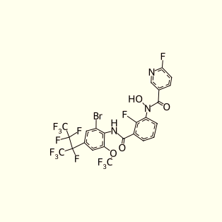 O=C(Nc1c(Br)cc(C(F)(C(F)(F)F)C(F)(F)C(F)(F)F)cc1OC(F)(F)F)c1cccc(N(O)C(=O)c2ccc(F)nc2)c1F